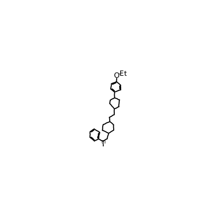 CCOc1ccc(C2CCC(CCC3CCC(C[C@@H](C)c4ccccc4)CC3)CC2)cc1